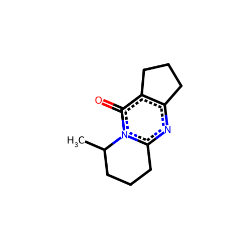 CC1CCCc2nc3c(c(=O)n21)CCC3